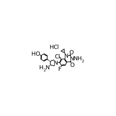 Cl.N[C@H]1CN(c2c(F)cc3c(=O)n(N)c(=O)n(C4CC4)c3c2Cl)C[C@@H]1c1ccc(O)cc1